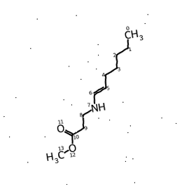 CCCCCC=CNCCC(=O)OC